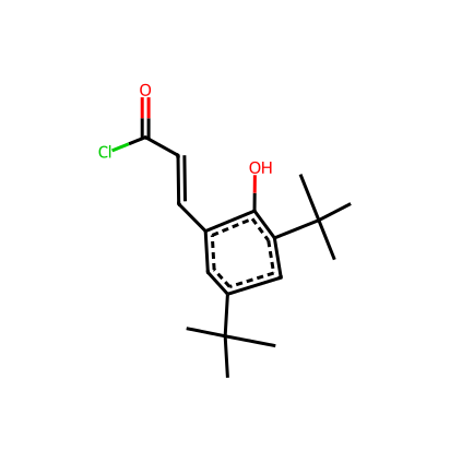 CC(C)(C)c1cc(C=CC(=O)Cl)c(O)c(C(C)(C)C)c1